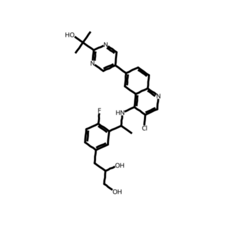 CC(Nc1c(Cl)cnc2ccc(-c3cnc(C(C)(C)O)nc3)cc12)c1cc(CC(O)CO)ccc1F